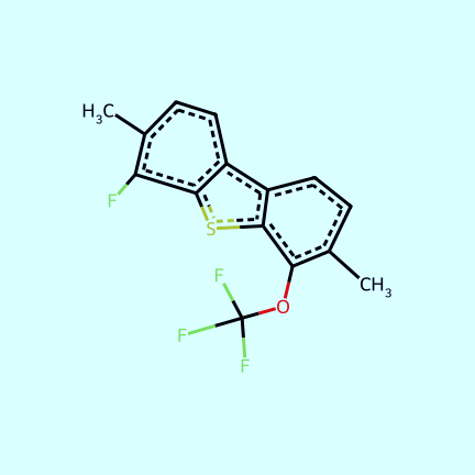 Cc1ccc2c(sc3c(OC(F)(F)F)c(C)ccc32)c1F